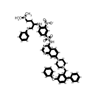 CN(C)CCC(CSc1ccccc1)Nc1ccc(S(=O)(=O)Nc2ncnc3cc(N4CCN(Cc5cc(Oc6ccccc6)ccc5-c5ccccc5)CC4)ccc23)cc1[N+](=O)[O-]